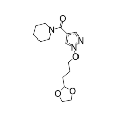 O=C(c1cnn(OCCCC2OCCO2)c1)N1CCCCC1